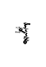 C#CCCC1(C=CC(=O)NCCN(CCCc2cnc(N)cc2OC)CCCn2cnc3c4ccccc4n(C)c3c2=O)N=N1